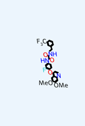 COc1cc2nccc(Oc3ccc(NC(=O)C(=O)NCCc4cccc(C(F)(F)F)c4)cc3F)c2cc1OC